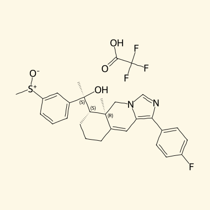 C[S+]([O-])c1cccc([C@@](C)(O)[C@H]2CCCC3=Cc4c(-c5ccc(F)cc5)ncn4C[C@@]32C)c1.O=C(O)C(F)(F)F